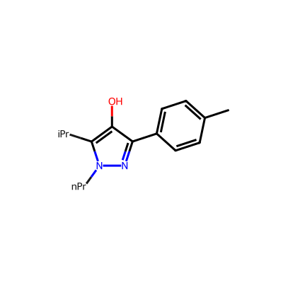 CCCn1nc(-c2ccc(C)cc2)c(O)c1C(C)C